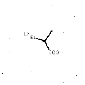 CCC(C)C(=O)[O-].[Li+]